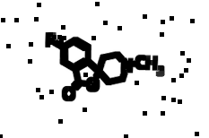 CN1CCC2(CC1)OC(=O)c1cc(F)ccc12